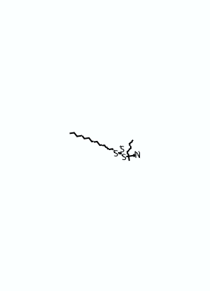 CCCCCCCCCCCCSC(=S)SC(C)(C#N)CCCC